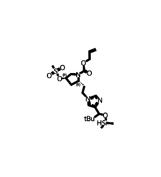 C=CCOC(=O)N1C[C@H](OS(C)(=O)=O)C[C@H]1CCn1cnc(C(O[SiH](C)C)C(C)(C)C)c1